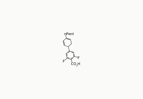 CCCCCC1=CCC(c2cc(F)c(C(=O)O)c(F)c2)C=C1